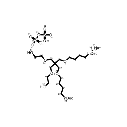 CCCCCCCCCCCCCCOCC(COCCO)(COCCO)COCCCCCCCCCCCCCC.O=S(=O)([O-])OS(=O)(=O)[O-].[Na+].[Na+]